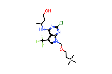 CC(CCO)Nc1nc(Cl)nc2c1c(C(F)(F)F)cn2COCC[Si](C)(C)C